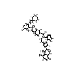 Cc1cnc(N2CC3(CCOCC3)C2)c(C(=O)Nc2ccc(C(=O)N3CCc4sc(C(=O)Nc5c(F)cccc5F)cc4-c4ccccc43)cc2)c1